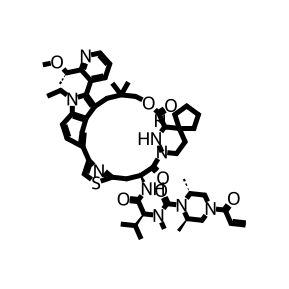 C=CC(=O)N1C[C@@H](C)N(C(=O)N(C)[C@H](C(=O)N[C@H]2Cc3nc(cs3)-c3ccc4c(c3)c(c(-c3cccnc3[C@H](C)OC)n4CC)CC(C)(C)COC(=O)[C@H]3NN(CCC34CCCC4)C2=O)C(C)C)[C@H](C)C1